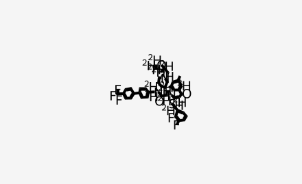 [2H]c1c(C)c([2H])c2c(=O)c([2H])c(SC([2H])([2H])c3cccc(F)c3F)n(C([2H])([2H])C(=O)N(C3CCN(CC([2H])([2H])OC([2H])([2H])[2H])CC3)C([2H])([2H])c3ccc(-c4ccc(C(F)(F)F)cc4)cc3)c2c1[2H]